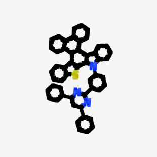 c1ccc(-c2cc(-c3ccccc3)nc(-c3cccc(-n4c5ccccc5c5c6c7ccccc7c7ccccc7c6c6c7ccccc7sc6c54)c3)n2)cc1